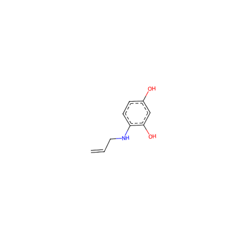 C=CCNc1ccc(O)cc1O